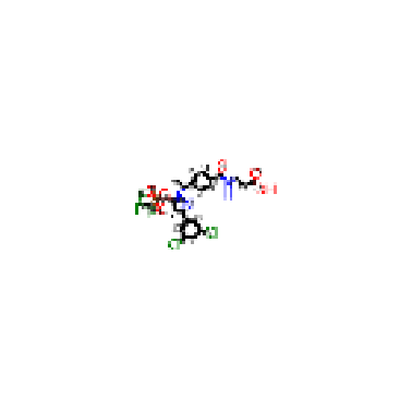 CC(c1ccc(C(=O)NCCC(=O)O)cc1)n1nc(-c2cc(Cl)cc(Cl)c2)cc1OS(=O)(=O)C(F)(F)F